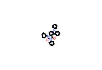 O=c1c2c3c4ccccc4n(-c4ccccc4)c3ccc2n(-c2ccccc2)c(=O)n1-c1ccccc1